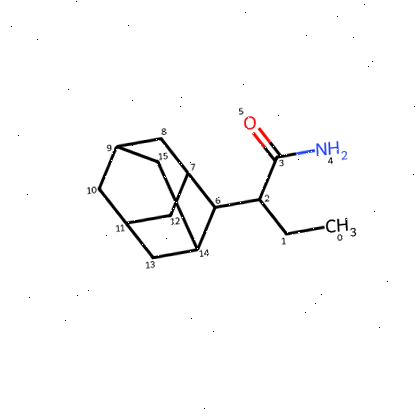 CCC(C(N)=O)C1C2CC3CC(C2)CC1C3